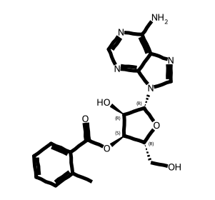 Cc1ccccc1C(=O)O[C@H]1[C@@H](O)[C@H](n2cnc3c(N)ncnc32)O[C@@H]1CO